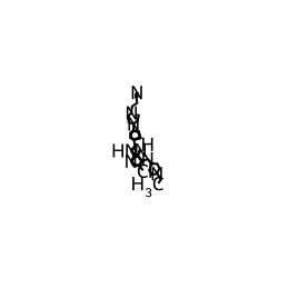 CCN1CCC(Nc2c(Cl)cnc3[nH]c(-c4ccc(N5CCN(CCC#N)CC5)cc4)nc23)CC1